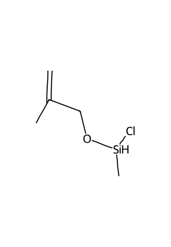 C=C(C)CO[SiH](C)Cl